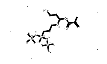 C=C(C)C(=O)OC(CCO)OCCC[Si](C)(O[Si](C)(C)C)O[Si](C)(C)C